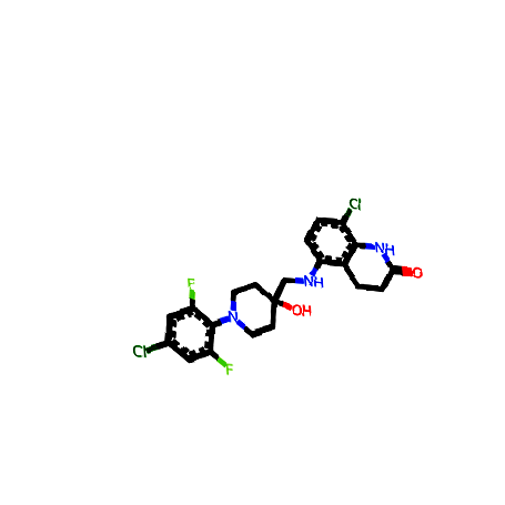 O=C1CCc2c(NCC3(O)CCN(c4c(F)cc(Cl)cc4F)CC3)ccc(Cl)c2N1